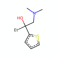 CCC(O)(CN(C)C)c1cccs1